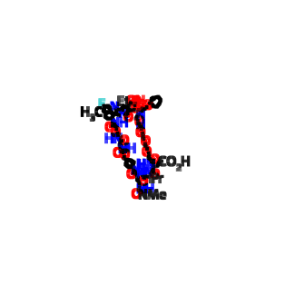 CC[C@@]1(O)C(=O)OCc2c1cc1n(c2=O)Cc2c-1nc1cc(F)c(C)c3c1c2[C@@H](NC(=O)COCNC(=O)CNC(=O)OCc1ccc(NC(=O)[C@H](CCCNC(=O)NC)NC(=O)[C@@H](NC(=O)[C@H](CCC(=O)O)NC(=O)CCOCCOCCOCCOCCNC(=O)COC2C#CCCCCC2)C(C)C)cc1)CC3